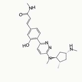 CNC(=O)/C=C/c1ccc(-c2ccc(N(C)[C@H]3C[C@H](NC)C[C@@H]3C)nn2)c(O)c1